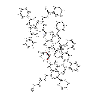 C/C(=C\[C@H]1O[C@@H](/C(C)=C/C[C@H]2O[C@@H](OCCOCCO)[C@H](OC(=O)c3ccccc3)[C@@H](OC(=O)c3ccccc3)[C@@H]2OC(=O)c2ccccc2)[C@H](OC(=O)c2ccccc2)[C@@H](OC(=O)c2ccccc2)[C@@H]1OC(=O)c1ccccc1)[C@@H]1O[C@H](COC(=O)c2ccccc2)[C@@H](OC(=O)c2ccccc2)[C@H](O)[C@H]1OC(=O)c1ccccc1